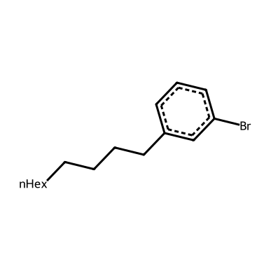 CCCCCCCCCCc1cccc(Br)c1